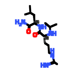 CC(=N)NCCC[C@@H](NC(C)C)C(=O)N[C@H](CC(C)C)C(N)=O